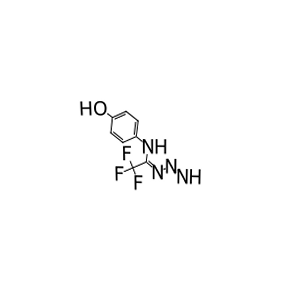 N=N/N=C(\Nc1ccc(O)cc1)C(F)(F)F